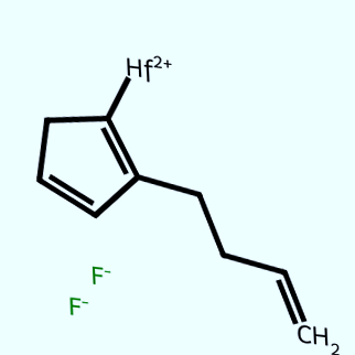 C=CCCC1=[C]([Hf+2])CC=C1.[F-].[F-]